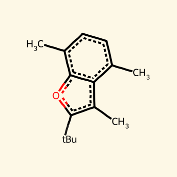 Cc1ccc(C)c2c(C)c(C(C)(C)C)oc12